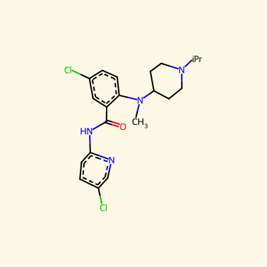 CC(C)N1CCC(N(C)c2ccc(Cl)cc2C(=O)Nc2ccc(Cl)cn2)CC1